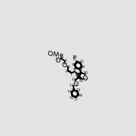 COC(=O)COC/C=C\CC1C(COCc2ccccc2)C2CC1(c1ccc(F)cc1)CO2